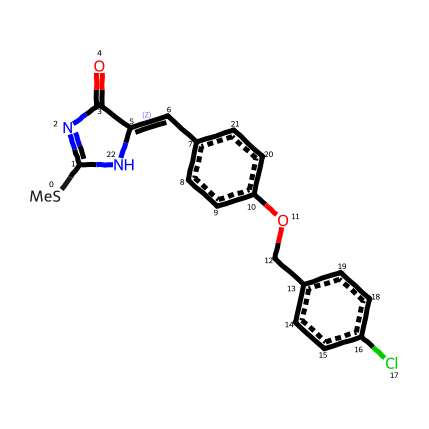 CSC1=NC(=O)/C(=C/c2ccc(OCc3ccc(Cl)cc3)cc2)N1